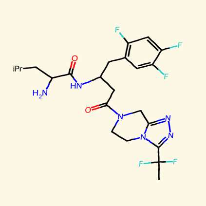 CC(C)CC(N)C(=O)NC(CC(=O)N1CCn2c(nnc2C(C)(F)F)C1)Cc1cc(F)c(F)cc1F